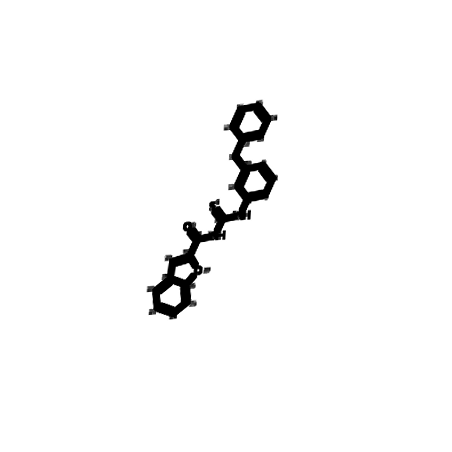 O=C(NC(=S)Nc1cccc(Cc2ccccc2)c1)c1cc2ccccc2o1